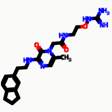 Cc1cnc(NCCc2ccc3c(c2)CCC3)c(=O)n1CC(=O)NCCONC(=N)N